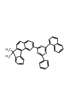 CC1(C)c2ccccc2-c2c1ccc1ccc(-c3nc(-c4ccccc4)nc(-c4cccc5ccccc45)n3)cc21